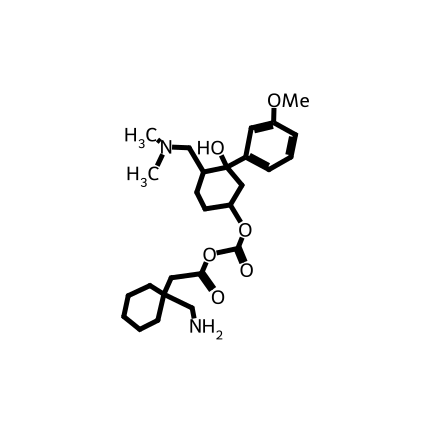 COc1cccc(C2(O)CC(OC(=O)OC(=O)CC3(CN)CCCCC3)CCC2CN(C)C)c1